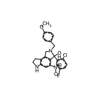 COc1ccc(CN2Cc3c4c(cc([N+](=O)[O-])c3C2(O)c2cc(F)ccc2Cl)NCC4)cc1